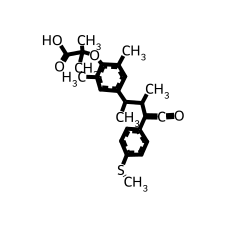 CSc1ccc(C(=C=O)C(C)C(C)c2cc(C)c(OC(C)(C)C(=O)O)c(C)c2)cc1